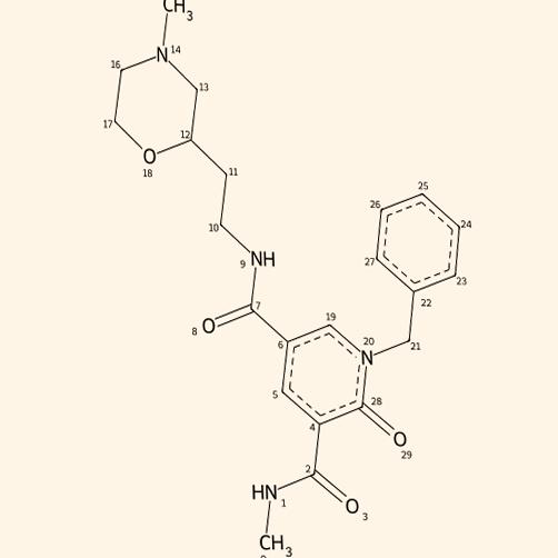 CNC(=O)c1cc(C(=O)NCCC2CN(C)CCO2)cn(Cc2ccccc2)c1=O